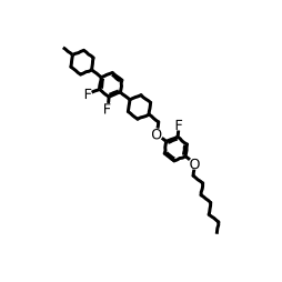 CCCCCCCOc1ccc(OCC2CCC(c3ccc(C4CCC(C)CC4)c(F)c3F)CC2)c(F)c1